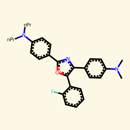 CCCN(CCC)c1ccc(-c2nc(-c3ccc(N(C)C)cc3)c(-c3ccccc3F)o2)cc1